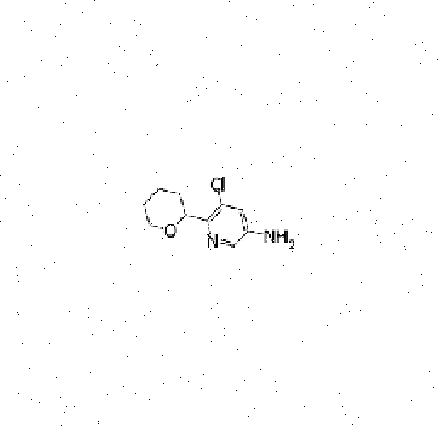 Nc1cnc(C2CCCCO2)c(Cl)c1